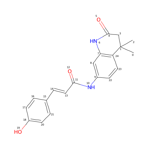 CC1(C)CC(=O)Nc2cc(NC(=O)C=Cc3ccc(O)cc3)ccc21